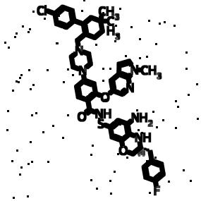 Cn1ccc2cc(Oc3cc(N4CCN(CC5=C(c6ccc(Cl)cc6)CC(C)(C)CC5)CC4)ccc3C(=O)NSc3cc(N)c4c(c3)OC[C@@H](Cc3ccc(F)cc3)N4)cnc21